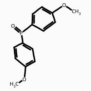 COc1ccc([P](=O)c2ccc(OC)cc2)cc1